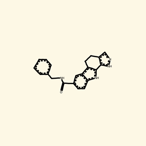 O=C(NCc1ccccc1)c1ccc2[nH]c3c(c2c1)CCc1cn[nH]c1-3